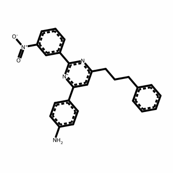 Nc1ccc(-c2cc(CCCc3ccccc3)nc(-c3cccc([N+](=O)[O-])c3)n2)cc1